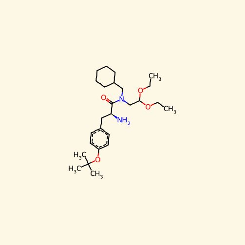 CCOC(CN(CC1CCCCC1)C(=O)[C@@H](N)Cc1ccc(OC(C)(C)C)cc1)OCC